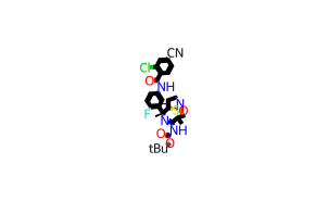 CC(C)(C)OC(=O)NC1=N[C@](C)(c2cc(NC(=O)c3ccc(C#N)cc3Cl)ccc2F)[C@@H]2CCN=[S@]2(=O)C1(C)C